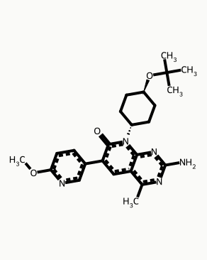 COc1ccc(-c2cc3c(C)nc(N)nc3n([C@H]3CC[C@H](OC(C)(C)C)CC3)c2=O)cn1